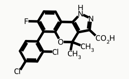 CC1(C)Oc2c(ccc(F)c2-c2ccc(Cl)cc2Cl)-c2[nH]nc(C(=O)O)c21